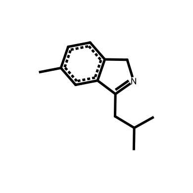 Cc1ccc2c(c1)C(CC(C)C)=NC2